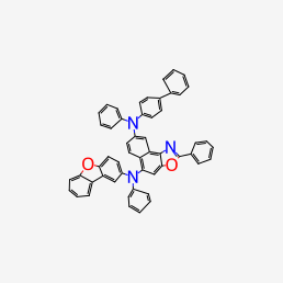 c1ccc(-c2ccc(N(c3ccccc3)c3ccc4c(N(c5ccccc5)c5ccc6oc7ccccc7c6c5)cc5oc(-c6ccccc6)nc5c4c3)cc2)cc1